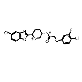 O=C(COc1ccc(Cl)c(F)c1)N[C@H]1CC[C@H](c2nc3cc(Cl)ccc3o2)NC1